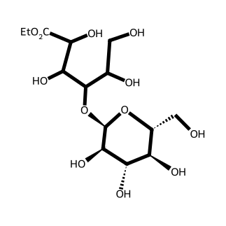 CCOC(=O)C(O)C(O)C(O[C@H]1O[C@H](CO)[C@@H](O)[C@H](O)[C@H]1O)C(O)CO